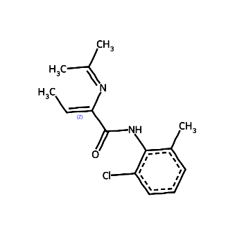 C/C=C(\N=C(C)C)C(=O)Nc1c(C)cccc1Cl